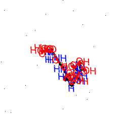 O=C(O)CCC(NC(=O)N[C@@H](CCCCNC(=O)CCCCCCC(=O)NCCCCC(NC(=O)C(Cc1ccccc1)NC(=O)C(Cc1ccccc1)NC(=O)C(CNC(=O)CN1CCN(CC(=O)O)CCN(CC(=O)O)CCN(CC(=O)O)CC1)C(=O)O)C(=O)O)C(=O)O)C(=O)O